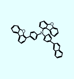 c1ccc2cc(-c3ccc(N(c4ccc(-c5cccc6c5oc5ccccc56)cc4)c4cccc5oc6ccccc6c45)cc3)ccc2c1